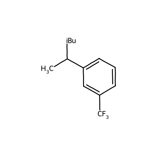 CCC(C)C(C)c1cccc(C(F)(F)F)c1